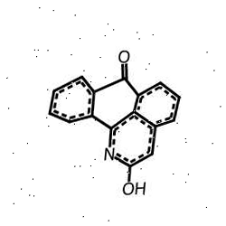 O=C1c2ccccc2-c2nc(O)cc3cccc1c23